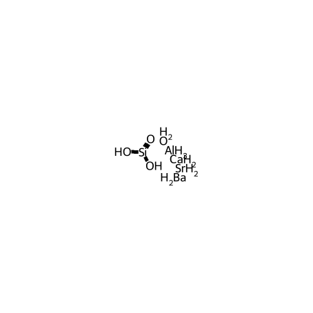 O.O=[Si](O)O.[AlH3].[BaH2].[CaH2].[SrH2]